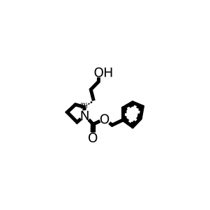 O=C(OCc1ccccc1)N1CCC[C@@H]1CCCO